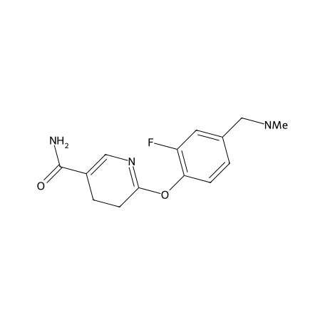 CNCc1ccc(OC2=NC=C(C(N)=O)CC2)c(F)c1